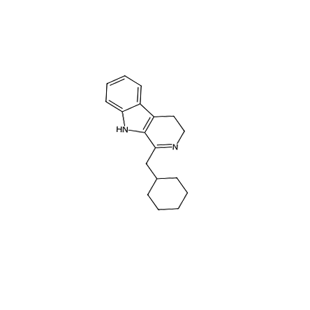 c1ccc2c3c([nH]c2c1)C(CC1CCCCC1)=NCC3